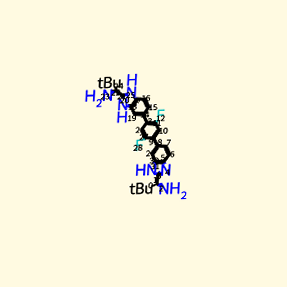 CC(C)(C)[C@H](N)c1nc2ccc(-c3cc(F)c(-c4ccc5c(c4)NC([C@@H](N)C(C)(C)C)N5)cc3F)cc2[nH]1